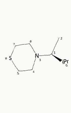 CC(C)[C@H](C)N1CCSCC1